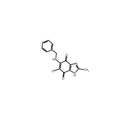 Cc1nc2c([nH]1)C(=O)C(Cl)=C(NCc1ccccc1)C2=O